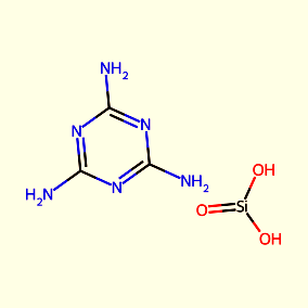 Nc1nc(N)nc(N)n1.O=[Si](O)O